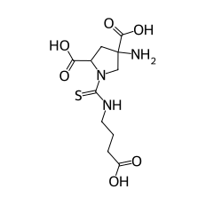 NC1(C(=O)O)CC(C(=O)O)N(C(=S)NCCCC(=O)O)C1